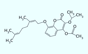 CC(=O)Oc1c(OC(C)C)c(=O)oc2c(OCC=C(C)CCC=C(C)C)cccc12